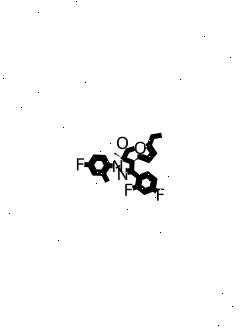 CCc1ccc([C@@H]2C(c3ccc(F)cc3F)=NN(c3ccc(F)cc3C)[C@@]2(C)C(C)=O)o1